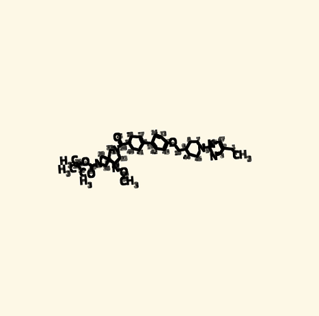 CCc1cnc(N2CCC(COc3ccc(C4=CCC(C(=O)N5C/C(=N\OC)C6(CN(C(=O)OC(C)(C)C)C6)C5)CC4)cc3)CC2)nc1